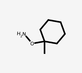 CC1(ON)CCCCC1